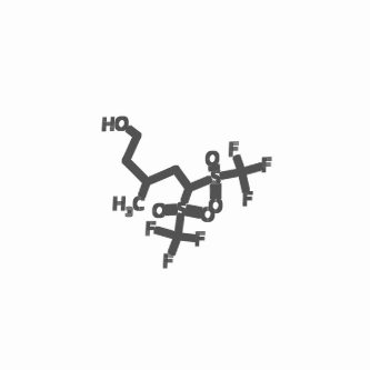 CC(CCO)CC(S(=O)(=O)C(F)(F)F)S(=O)(=O)C(F)(F)F